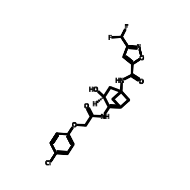 O=C(COc1ccc(Cl)cc1)NC1=C2CC(NC(=O)c3cc(C(F)F)no3)(C2)C[C@@H]1O